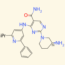 CC(C)c1cc(Nc2nc(N3CCC[C@H](N)C3)ncc2C(N)=O)cc(-c2ccccc2)n1